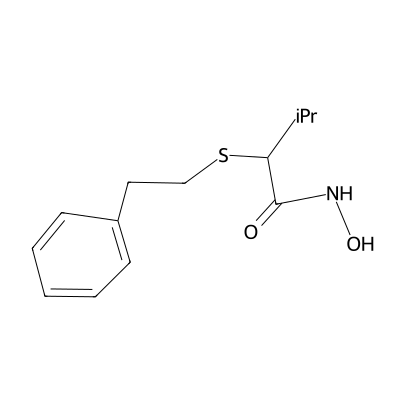 CC(C)C(SCCc1ccccc1)C(=O)NO